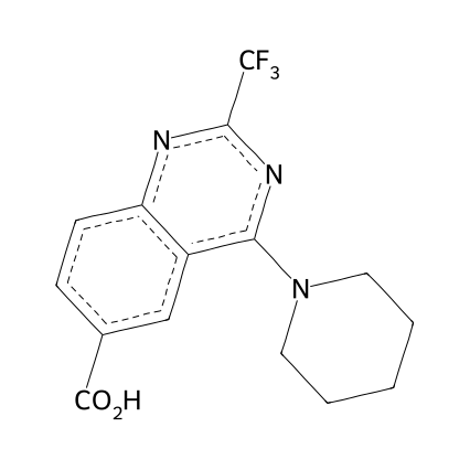 O=C(O)c1ccc2nc(C(F)(F)F)nc(N3CCCCC3)c2c1